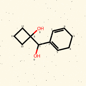 OC(C1=CC[CH]C=C1)C1(O)CCC1